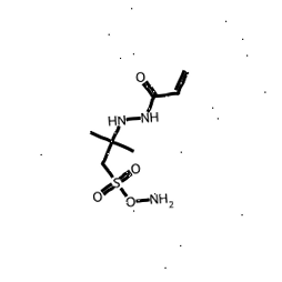 C=CC(=O)NNC(C)(C)CS(=O)(=O)ON